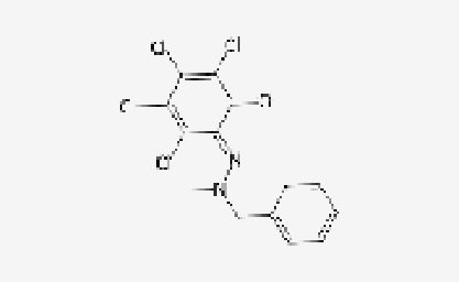 CN(Cc1ccccc1)N=C1C(=O)C(Cl)=C(Cl)C(Cl)=C1Cl